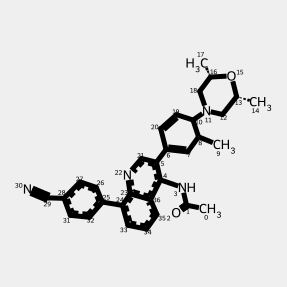 CC(=O)Nc1c(C2=CC(C)C(N3C[C@@H](C)O[C@@H](C)C3)C=C2)cnc2c(-c3ccc(C#N)cc3)cccc12